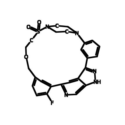 O=S1(=O)CCOCc2ccc(F)c(c2)-c2cc3c(n[nH]c3cn2)-c2cccc(c2)N2CCN1CC2